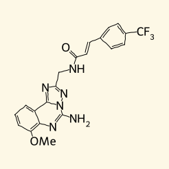 COc1cccc2c1nc(N)n1nc(CNC(=O)C=Cc3ccc(C(F)(F)F)cc3)nc21